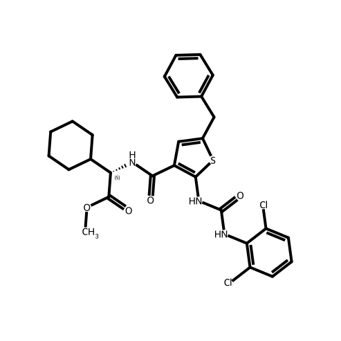 COC(=O)[C@@H](NC(=O)c1cc(Cc2ccccc2)sc1NC(=O)Nc1c(Cl)cccc1Cl)C1CCCCC1